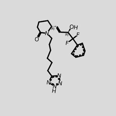 O=C1CCC[C@H](C=C[C@@H](O)C(F)(F)c2ccccc2)N1CCCCCCc1nn[nH]n1